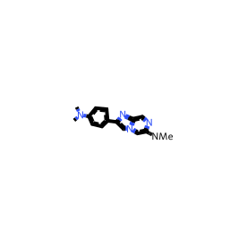 CNc1cn2cc(-c3ccc(N(C)C)cc3)nc2cn1